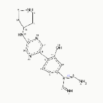 N=C/C(=C\N)c1ccc(-c2cnc(NC3CCNCC3)cn2)c(O)c1